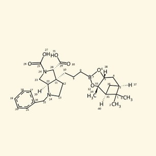 CC1(C)[C@@H]2C[C@H]3OB(CCC[C@]45CCN(Cc6ccccc6)[C@H]4CN(C(=O)O)[C@@H]5C(=O)O)O[C@@]3(C)[C@H]1C2